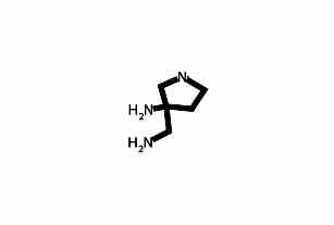 NCC1(N)CC[N]C1